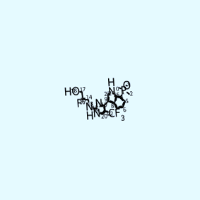 CP(C)(=O)c1cccc2c(-c3nc(NCC(F)CO)ncc3C(F)(F)F)c[nH]c12